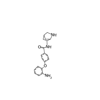 Nc1ccccc1Oc1ccc(C(=O)NC2CC3CNC2C3)cc1